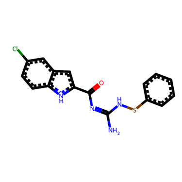 NC(=NC(=O)c1cc2cc(Cl)ccc2[nH]1)NSc1ccccc1